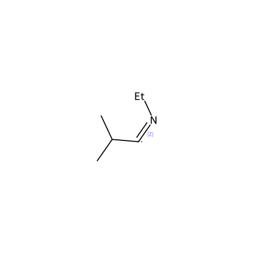 CC/N=[C]\C(C)C